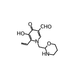 C=Cc1c(O)c(=O)c(C=O)cn1CC1NCCCO1